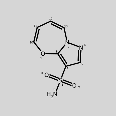 NS(=O)(=O)c1cnn2c1OC=CC=C2